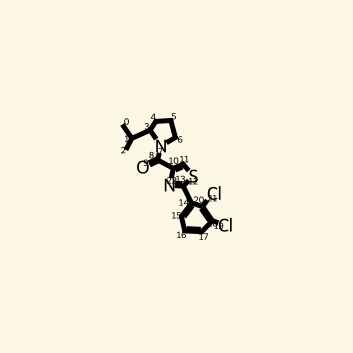 CC(C)C1CCCN1C(=O)c1csc(-c2cccc(Cl)c2Cl)n1